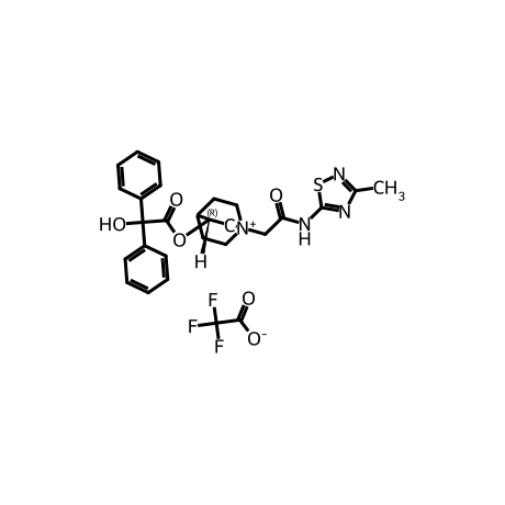 Cc1nsc(NC(=O)C[N+]23CCC(CC2)[C@@H](OC(=O)C(O)(c2ccccc2)c2ccccc2)C3)n1.O=C([O-])C(F)(F)F